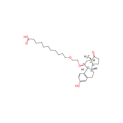 C[C@]12C[C@H](OCCOCCCCCCCCCCC(=O)O)[C@@H]3c4ccc(O)cc4CC[C@H]3[C@@H]1CCC2=O